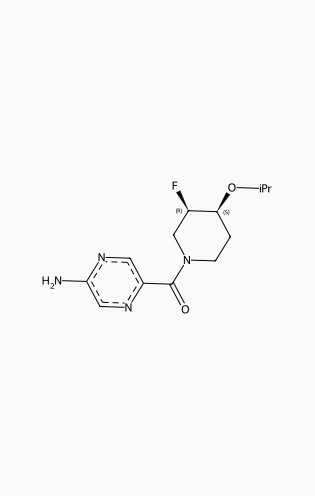 CC(C)O[C@H]1CCN(C(=O)c2cnc(N)cn2)C[C@H]1F